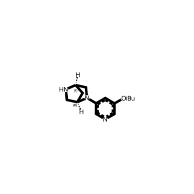 CC(C)COc1cncc(N2C[C@H]3C[C@@H]2CN3)c1